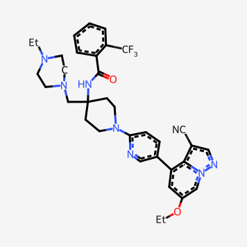 CCOc1cc(-c2ccc(N3CCC(CN4CCN(CC)CC4)(NC(=O)c4ccccc4C(F)(F)F)CC3)nc2)c2c(C#N)cnn2c1